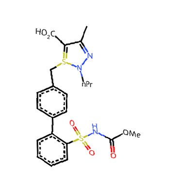 CCCN1N=C(C)C(C(=O)O)=S1Cc1ccc(-c2ccccc2S(=O)(=O)NC(=O)OC)cc1